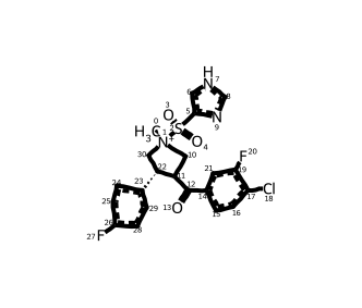 C[N@+]1(S(=O)(=O)c2c[nH]cn2)CC(C(=O)c2ccc(Cl)c(F)c2)[C@H](c2ccc(F)cc2)C1